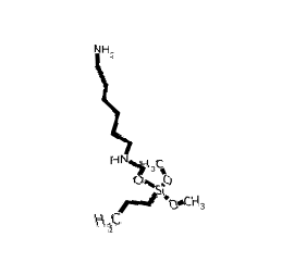 CCC[Si](OC)(OC)OCNCCCCCCN